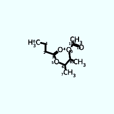 CCCC(=O)OC(C)C(C)OC(C)=O